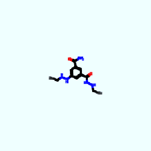 CCC(C)CNNC(=O)c1cc(NNCC(C)CC)cc(C(N)=O)c1